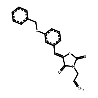 C=CCN1C(=O)/C(=C/c2cccc(OCc3ccccc3)c2)SC1=S